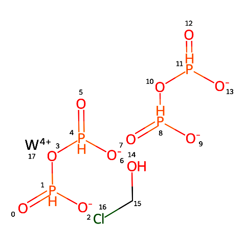 O=[PH]([O-])O[PH](=O)[O-].O=[PH]([O-])O[PH](=O)[O-].OCCl.[W+4]